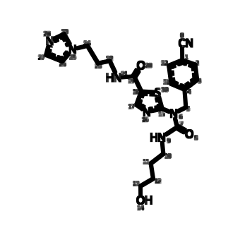 N#Cc1ccc(CN(C(=O)NCCCCO)c2ncc(C(=O)NCCCn3ccnc3)s2)cc1